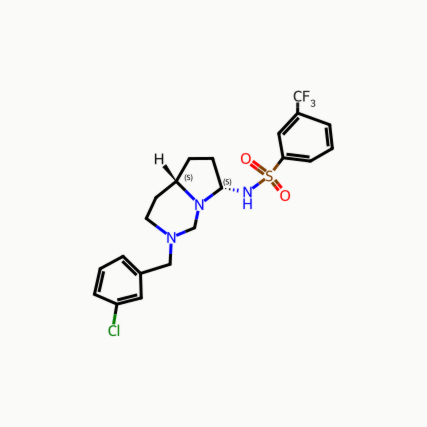 O=S(=O)(N[C@H]1CC[C@H]2CCN(Cc3cccc(Cl)c3)CN21)c1cccc(C(F)(F)F)c1